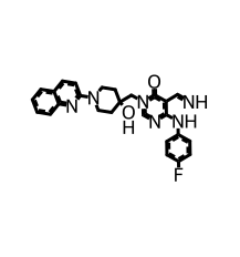 N=Cc1c(Nc2ccc(F)cc2)ncn(CC2(O)CCN(c3ccc4ccccc4n3)CC2)c1=O